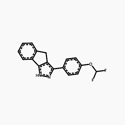 FC(F)Oc1ccc(-c2n[nH]c3c2Cc2ccccc2-3)cc1